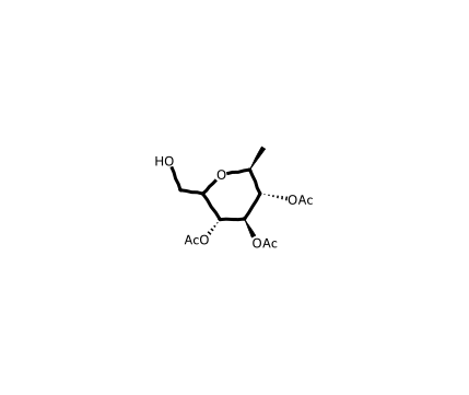 CC(=O)O[C@@H]1[C@@H](OC(C)=O)[C@H](OC(C)=O)C(CO)O[C@H]1C